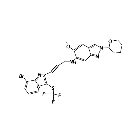 COc1cc2cn(C3CCCCO3)nc2cc1NCC#Cc1nc2c(Br)cccn2c1SC(F)(F)F